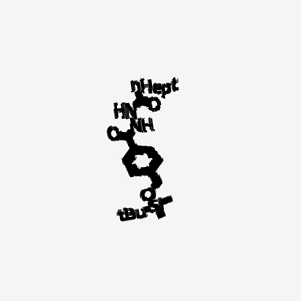 CCCCCCCC(=O)NNC(=O)c1ccc(CO[Si](C)(C)C(C)(C)C)cc1